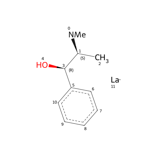 CN[C@@H](C)[C@H](O)c1ccccc1.[La]